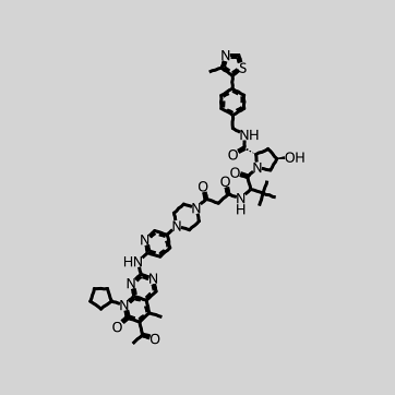 CC(=O)c1c(C)c2cnc(Nc3ccc(N4CCN(C(=O)CC(=O)NC(C(=O)N5C[C@H](O)C[C@H]5C(=O)NCc5ccc(-c6scnc6C)cc5)C(C)(C)C)CC4)cn3)nc2n(C2CCCC2)c1=O